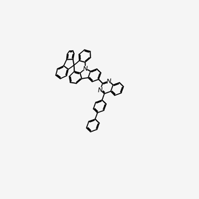 c1ccc(-c2ccc(-c3nc(-c4ccc5c(c4)c4cccc6c4n5-c4ccccc4C64c5ccccc5-c5ccccc54)nc4ccccc34)cc2)cc1